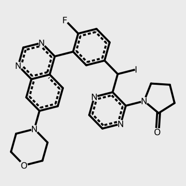 O=C1CCCN1c1nccnc1C(I)c1ccc(F)c(-c2ncnc3cc(N4CCOCC4)ccc23)c1